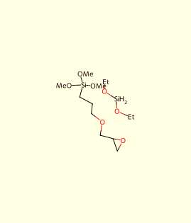 CCO[SiH2]OCC.CO[Si](CCCOCC1CO1)(OC)OC